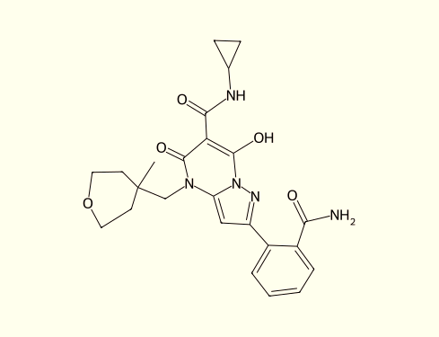 CC1(Cn2c(=O)c(C(=O)NC3CC3)c(O)n3nc(-c4ccccc4C(N)=O)cc23)CCOCC1